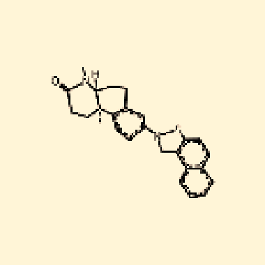 CN1C(=O)CC[C@]2(C)c3ccc(N4Cc5c(ccc6ccccc56)S4)cc3CC[C@@H]12